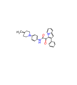 C=C1CCN(c2ccc(NC(=O)C(=O)c3c(-c4ccccc4)cc4ccccn34)cc2)CC1